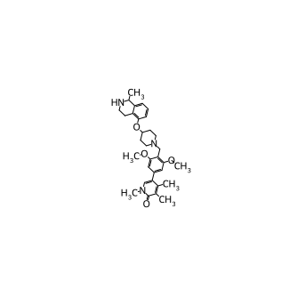 COc1cc(-c2cn(C)c(=O)c(C)c2C)cc(OC)c1CN1CCC(Oc2cccc3c2CCNC3C)CC1